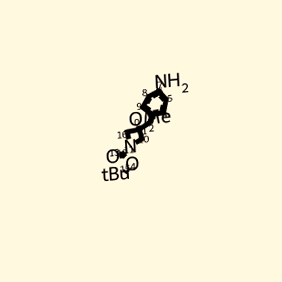 COC1(Cc2ccc(N)cc2)CN(C(=O)OC(C)(C)C)C1